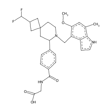 COc1cc(C)c2[nH]ccc2c1CN1CCC2(CC(C(F)F)C2)CC1c1ccc(C(=O)NCC(=O)O)cc1